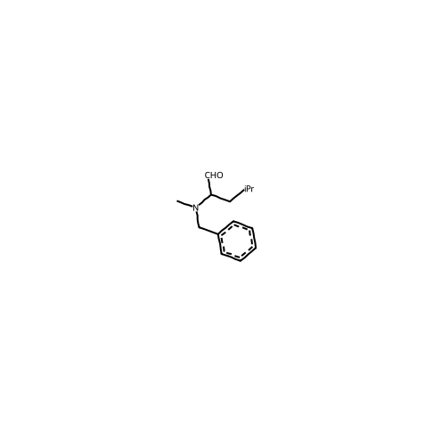 CC(C)CC(C=O)N(C)Cc1ccccc1